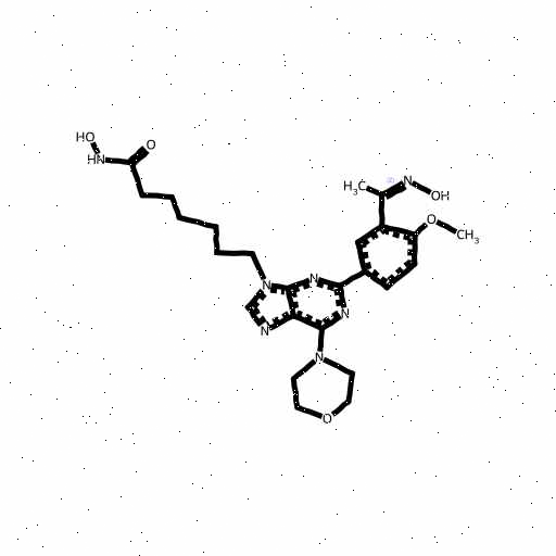 COc1ccc(-c2nc(N3CCOCC3)c3ncn(CCCCCCC(=O)NO)c3n2)cc1/C(C)=N\O